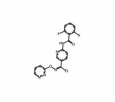 CCC(=NOc1cccnn1)c1ccc(NC(=O)c2c(F)cccc2F)nc1